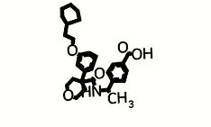 CC(NC(=O)C1(c2cccc(OCCC3CCCCC3)c2)CCOCC1)c1ccc(C(=O)O)cc1